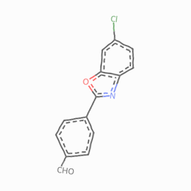 O=Cc1ccc(-c2nc3ccc(Cl)cc3o2)cc1